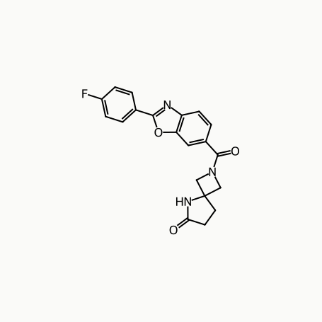 O=C1CCC2(CN(C(=O)c3ccc4nc(-c5ccc(F)cc5)oc4c3)C2)N1